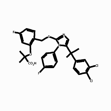 CC(C)(Oc1cc(F)ccc1CSc1ncc(C(C)(C)c2ccc(Cl)c(Cl)c2)n1-c1ccc(F)cc1)C(=O)O